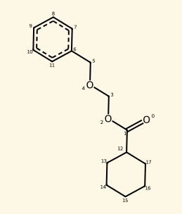 O=C(OCOCc1ccccc1)C1CCCCC1